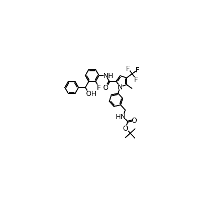 Cc1c(C(F)(F)F)cc(C(=O)Nc2cccc(C(O)c3ccccc3)c2F)n1-c1cccc(CNC(=O)OC(C)(C)C)c1